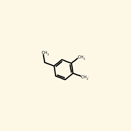 [CH2]c1ccc(CC)cc1C